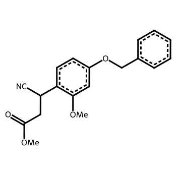 COC(=O)CC(C#N)c1ccc(OCc2ccccc2)cc1OC